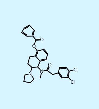 CN(C(=O)Cc1ccc(Cl)c(Cl)c1)C1c2cccc(OC(=O)c3ccccc3)c2CCC1N1CCCC1